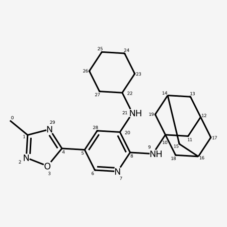 Cc1noc(-c2cnc(NC34CC5CC(CC(C5)C3)C4)c(NC3CCCCC3)c2)n1